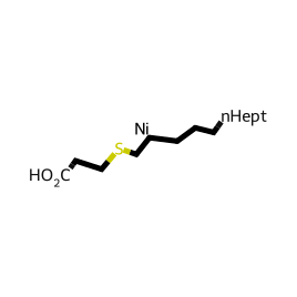 CCCCCCCCCCCCSCCC(=O)O.[Ni]